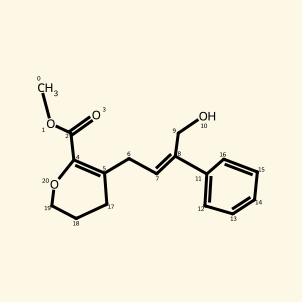 COC(=O)C1=C(CC=C(CO)c2ccccc2)CCCO1